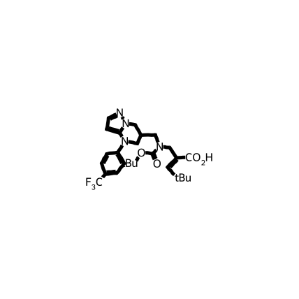 CC(C)(C)C=C(CN(CC1CN(c2ccc(C(F)(F)F)cc2)c2ccnn2C1)C(=O)OC(C)(C)C)C(=O)O